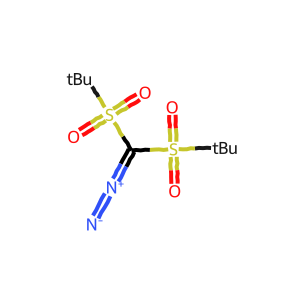 CC(C)(C)S(=O)(=O)C(=[N+]=[N-])S(=O)(=O)C(C)(C)C